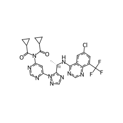 C[C@H](Nc1ncnc2c(C(F)(F)F)cc(Cl)cc12)c1ncnn1-c1cc(N(C(=O)C2CC2)C(=O)C2CC2)ncn1